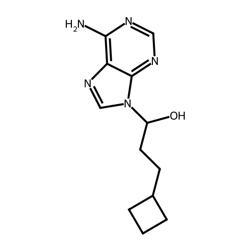 Nc1ncnc2c1ncn2C(O)CCC1CCC1